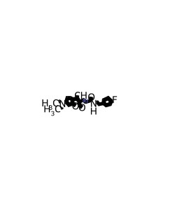 CCN(CC)c1ccc2c(C)c(/C=C/C(=O)NCCc3ccc(F)cc3)c(=O)oc2c1